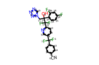 N#Cc1ccc(C(F)(F)c2ccc(C(F)(F)C(O)(Cn3cnnn3)c3ccc(F)cc3F)nc2)cc1